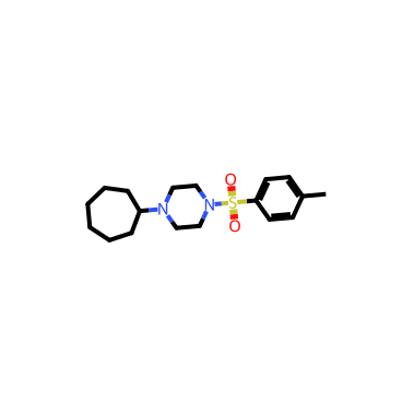 Cc1ccc(S(=O)(=O)N2CCN(C3CCCCCC3)CC2)cc1